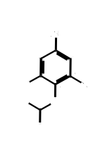 Cc1cc([N+](=O)[O-])cc([N+](=O)[O-])c1OC(F)C(F)(F)F